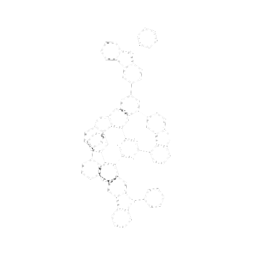 c1ccc(-c2ccccc2-c2nc(-c3cccc4oc5ccc(-c6cccc(-c7ccc8c(c7)c7ccccc7n8-c7ccccc7)c6)cc5c34)nc(-c3cccc4oc5ccc(-c6cccc(-c7ccc8c(c7)c7ccccc7n8-c7ccccc7)c6)cc5c34)n2)cc1